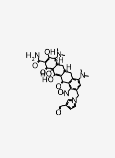 CN(C)c1cc(Cn2ccc(C=O)c2)c(N=O)c2c1C[C@H]1C[C@H]3[C@H](N(C)C)C(O)=C(C(N)=O)C(=O)[C@@]3(O)C(O)=C1C2=O